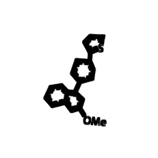 COc1cc(-c2ccc(-c3cccs3)cc2)c2ccccc2c1